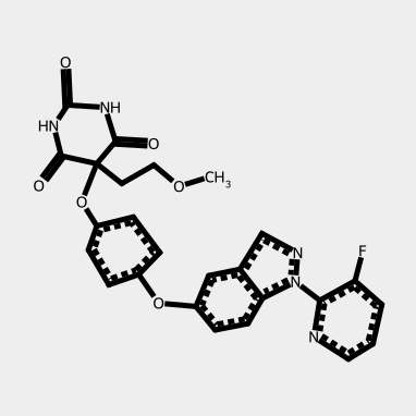 COCCC1(Oc2ccc(Oc3ccc4c(cnn4-c4ncccc4F)c3)cc2)C(=O)NC(=O)NC1=O